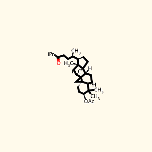 CC(=O)O[C@H]1CC[C@]23CC24CC[C@]2(C)[C@@H]([C@H](C)CCC(=O)C(C)C)CC[C@@]2(C)[C@@H]4CC[C@H]3C1(C)C